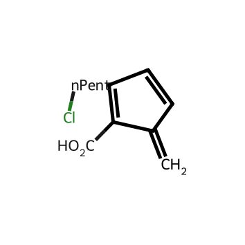 C=C1C=CC=C1C(=O)O.CCCCCCl